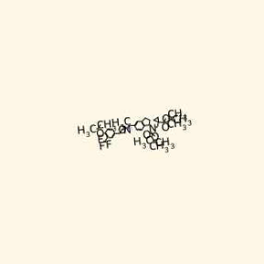 C/C(=N\OCc1ccc(OC(C)C)c(C(F)(F)F)c1)c1ccc2c(c1)CCC2N(CC1(C(=O)OC(C)(C)C)CC1)C(=O)OC(C)(C)C